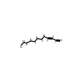 C#CC#CCCCCCCCC